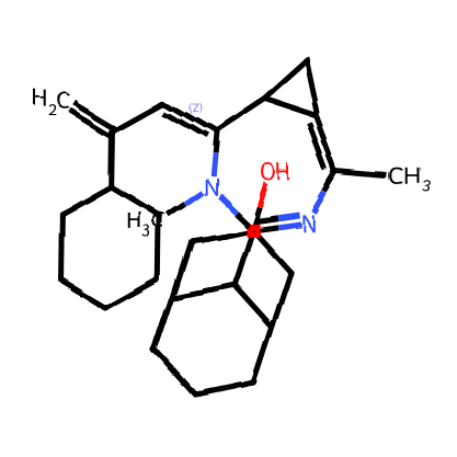 C=C(/C=C1/C2CC2=C(C)N=C(C2C3CCCC2CC(O)C3)N1C)C1CCCCC1